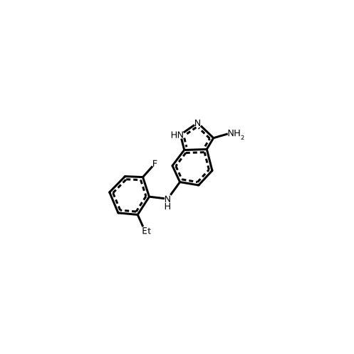 CCc1cccc(F)c1Nc1ccc2c(N)n[nH]c2c1